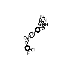 O=C(COc1ccc(F)c(Cl)c1)N1CCN(c2ccc(S(=O)(=O)Nc3ncncn3)cc2)CC1